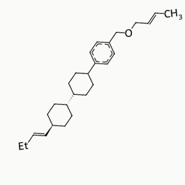 C/C=C/COCc1ccc(C2CCC([C@H]3CC[C@H](/C=C/CC)CC3)CC2)cc1